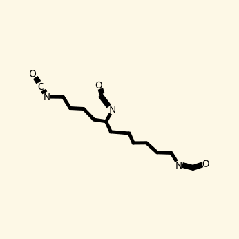 O=C=NCCCCCCC(CCCCN=C=O)N=C=O